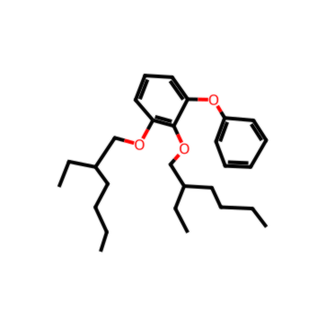 CCCCC(CC)COc1cccc(Oc2ccccc2)c1OCC(CC)CCCC